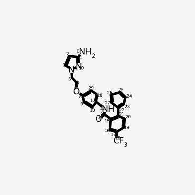 Nc1ccn(CCOc2ccc(NC(=O)c3cc(C(F)(F)F)ccc3-c3ccccc3)cc2)n1